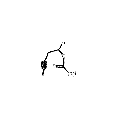 CC#CCC(CC)OC(=O)C(=O)O